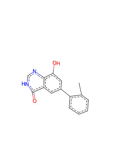 Cc1ccccc1-c1cc(O)c2nc[nH]c(=O)c2c1